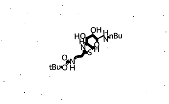 CCCCNC[C@H]1O[C@@H]2SC(CCNC(=O)OC(C)(C)C)=N[C@@H]2[C@@H](O)[C@@H]1O